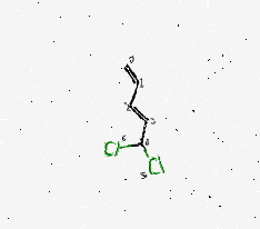 C=CC=C[C](Cl)Cl